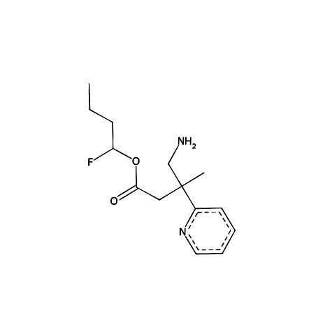 CCCC(F)OC(=O)CC(C)(CN)c1ccccn1